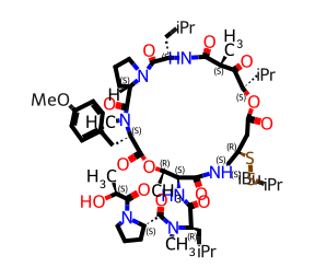 CC[C@H](C)[C@@H]1NC(=O)[C@@H](NC(=O)[C@@H](CC(C)C)N(C)C(=O)[C@@H]2CCCN2C(=O)[C@H](C)O)[C@@H](C)OC(=O)[C@H](Cc2ccc(OC)cc2)N(C)C(=O)[C@@H]2CCCN2C(=O)[C@H](CC(C)C)NC(=O)[C@@H](C)C(=O)[C@H](C(C)C)OC(=O)C[C@H]1SSC(C)C